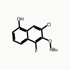 CCCCOc1c(Cl)cc2c(O)cccc2c1F